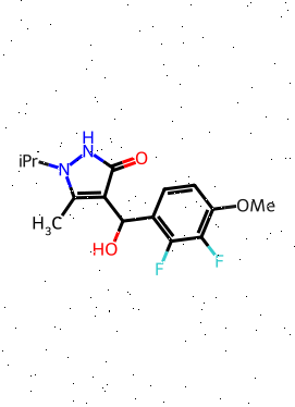 COc1ccc(C(O)c2c(C)n(C(C)C)[nH]c2=O)c(F)c1F